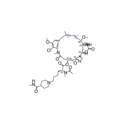 CNC(=O)C1CCN(CCCC[C@@H](C(=O)O[C@H]2CC(=O)N(C)c3cc(cc(OC)c3Cl)C/C(C)=C/C=C/[C@@H](OC)[C@@]3(O)C[C@H](OC(=O)N3)[C@@H](C)[C@@H]3O[C@@]23C)N(C)C(C)=O)CC1